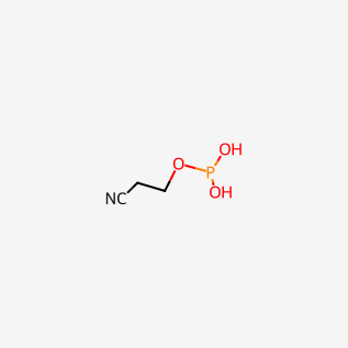 N#CCCOP(O)O